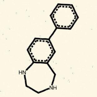 c1ccc(-c2ccc3c(c2)CNCCN3)cc1